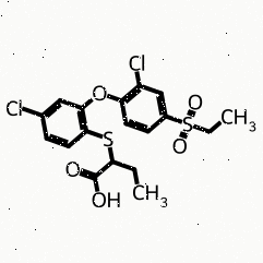 CCC(Sc1ccc(Cl)cc1Oc1ccc(S(=O)(=O)CC)cc1Cl)C(=O)O